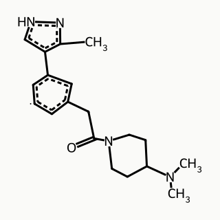 Cc1n[nH]cc1-c1c[c]cc(CC(=O)N2CCC(N(C)C)CC2)c1